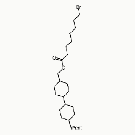 CCCCCC1CCC(C2CCC(COC(=O)CCCCCCCBr)CC2)CC1